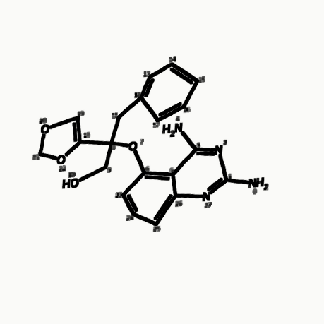 Nc1nc(N)c2c(OC(CO)(Cc3ccccc3)C3=COCO3)cccc2n1